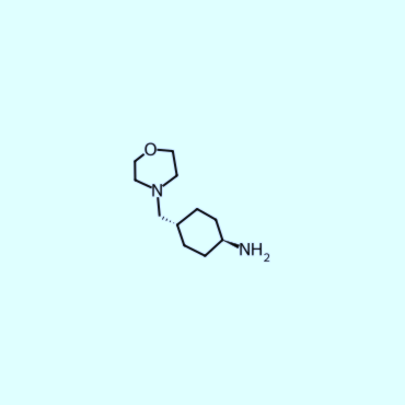 N[C@H]1CC[C@H](CN2CCOCC2)CC1